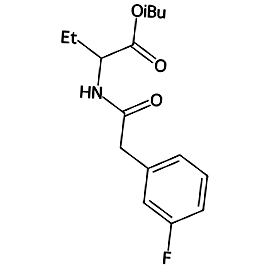 CCC(NC(=O)Cc1cccc(F)c1)C(=O)OCC(C)C